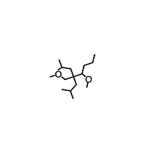 CCCC(OC)C(COC)(CC(C)C)CC(C)C